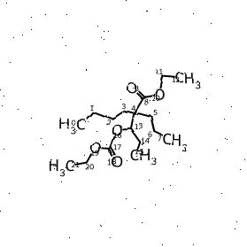 CCCCC(CCC)(C(=O)OCC)C(CC)OC(=O)OCC